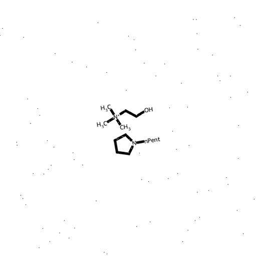 CCCCCN1CCCC1.C[N+](C)(C)CCO